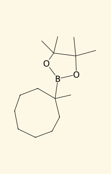 CC1(B2OC(C)(C)C(C)(C)O2)CCCCCCC1